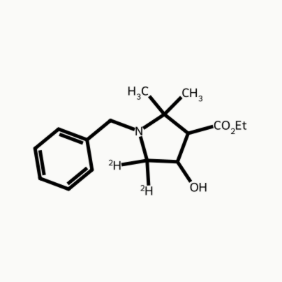 [2H]C1([2H])C(O)C(C(=O)OCC)C(C)(C)N1Cc1ccccc1